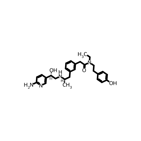 CCN(CCc1ccc(O)cc1)C(=O)Cc1cccc(C[C@@H](C)NC[C@@H](O)c2ccc(N)nc2)c1